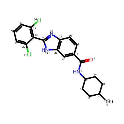 CC(C)(C)C1CCC(NC(=O)c2ccc3nc(-c4c(Cl)cccc4Cl)[nH]c3c2)CC1